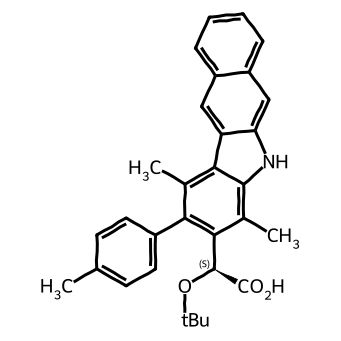 Cc1ccc(-c2c([C@H](OC(C)(C)C)C(=O)O)c(C)c3[nH]c4cc5ccccc5cc4c3c2C)cc1